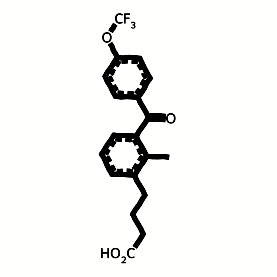 Cc1c(CCCC(=O)O)cccc1C(=O)c1ccc(OC(F)(F)F)cc1